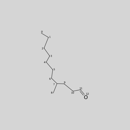 CCCCCCCC(C)CCC=O